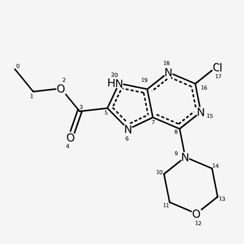 CCOC(=O)c1nc2c(N3CCOCC3)nc(Cl)nc2[nH]1